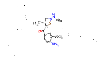 CCCCNN1CC(C)=C(C(=O)c2ccc(N)c([N+](=O)[O-])c2)S1